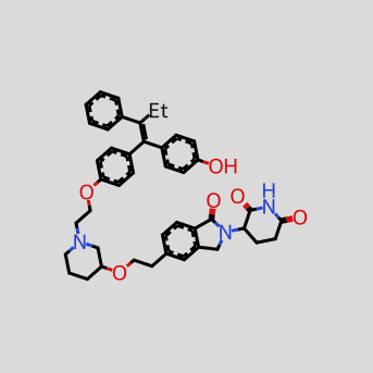 CCC(=C(c1ccc(O)cc1)c1ccc(OCCN2CCCC(OCCc3ccc4c(c3)CN(C3CCC(=O)NC3=O)C4=O)C2)cc1)c1ccccc1